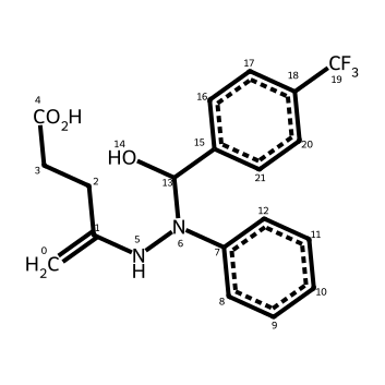 C=C(CCC(=O)O)NN(c1ccccc1)C(O)c1ccc(C(F)(F)F)cc1